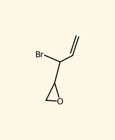 C=CC(Br)C1CO1